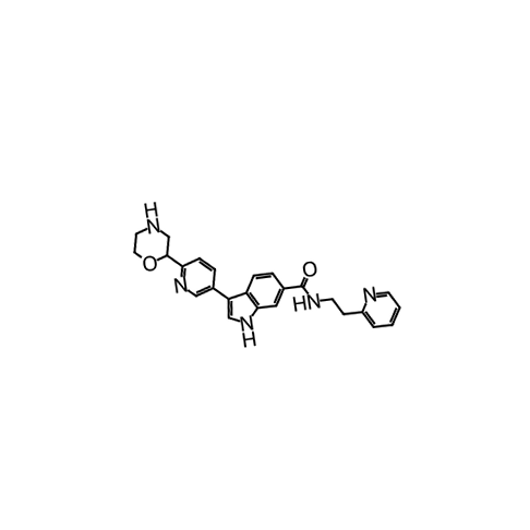 O=C(NCCc1ccccn1)c1ccc2c(-c3ccc(C4CNCCO4)nc3)c[nH]c2c1